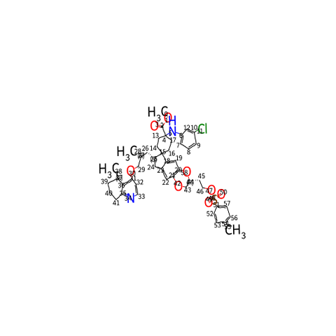 COC(=O)C1(Nc2cccc(Cl)c2)CCC2(CC1)c1cc3c(cc1C[C@@H]2C[C@@H](C)COc1ccnc2c1[C@H](C)CCC2)OC[C@@H](CCOS(=O)(=O)c1ccc(C)cc1)O3